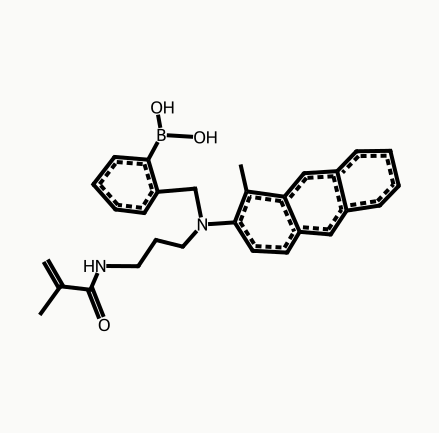 C=C(C)C(=O)NCCCN(Cc1ccccc1B(O)O)c1ccc2cc3ccccc3cc2c1C